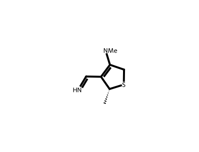 CNC1=C(C=N)[C@@H](C)SC1